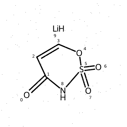 O=C1C=COS(=O)(=O)N1.[LiH]